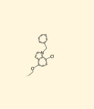 [CH2]COc1ccc(Cl)c2c1ccn2Cc1ccccc1